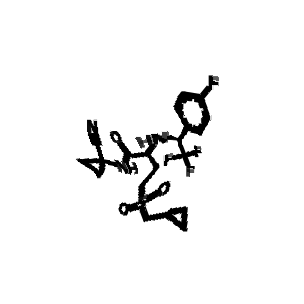 N#CC1(NC(=O)[C@H](CCS(=O)(=O)CC2CC2)N[C@@H](c2ccc(F)cc2)C(F)(F)F)CC1